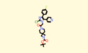 CC(C)(C)OC(=O)N1CC2(CCN(C(=O)Cn3c(Cl)nc(-c4ccc(F)cc4)c3-c3ccncc3)CC2)C1